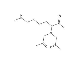 CNCCCCC(C(C)=O)N(CC(C)=O)CC(C)=O